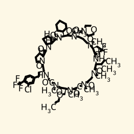 CCCOC[C@H]1C(=O)N(C)CC(=O)N[C@@H](CCc2ccc(C(F)(F)F)c(Cl)c2)C(=O)N2CCC[C@H]2C(=O)NC2(CCCC2)C(=O)N(C)[C@@H](C2CCCCC2)C(=O)N(C)[C@H](C(=O)N2CCOCC2)CC(=O)N(C)[C@@H](CC(F)(F)F)C(=O)N[C@@H]([C@@H](C)CC)C(=O)N(C)CC(=O)N(C)CC(=O)N1C